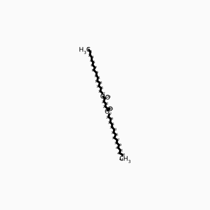 CCCCCCCCCCCCCCCCCCOC(=O)CCCC(=O)OCCCCCCCCCCCCCCCCCC